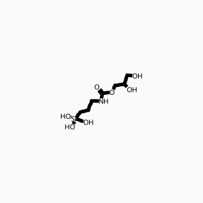 O=C(NCCC[Si](O)(O)O)OCC(O)CO